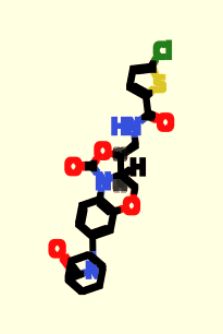 O=C(NC[C@@H]1OC(=O)N2c3ccc(N4C(=O)C5CCC4CC5)cc3OC[C@@H]12)c1ccc(Cl)s1